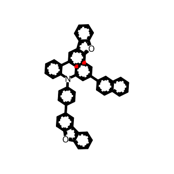 c1cc(-c2ccc3ccccc3c2)cc(N(c2ccc(-c3ccc4oc5ccccc5c4c3)cc2)c2ccccc2-c2ccc3oc4ccccc4c3c2)c1